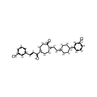 O=C(C=Cc1cccc(Cl)c1)N1CCC(=O)N(CCN2CCC(c3cccc(Cl)c3)CC2)CC1